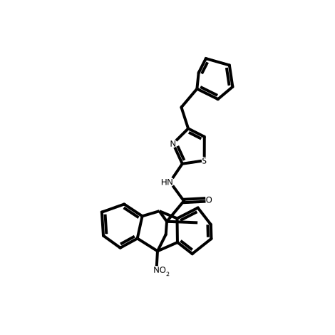 CC1(C(=O)Nc2nc(Cc3ccccc3)cs2)CC2([N+](=O)[O-])c3ccccc3C1c1ccccc12